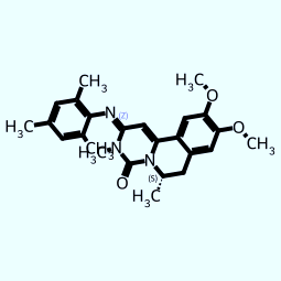 COc1cc2c(cc1OC)-c1c/c(=N/c3c(C)cc(C)cc3C)n(C)c(=O)n1[C@@H](C)C2